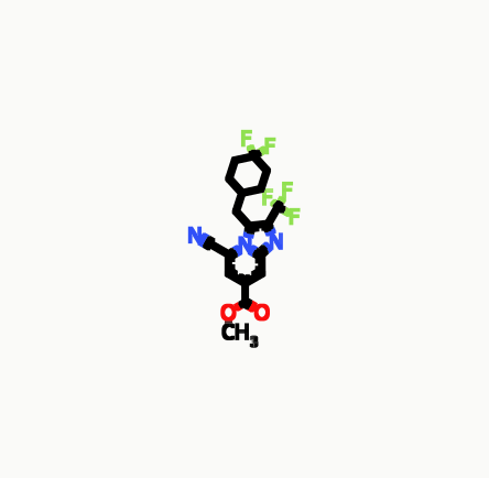 COC(=O)c1cc(C#N)n2c(CC3CCC(F)(F)CC3)c(C(F)(F)F)nc2c1